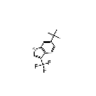 CC(C)(C)c1ccc2c(C(F)(F)F)csc2c1